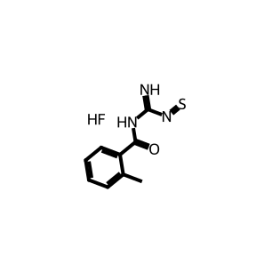 Cc1ccccc1C(=O)NC(=N)N=S.F